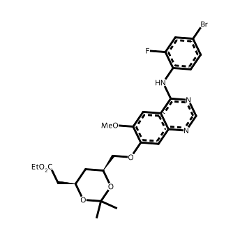 CCOC(=O)C[C@H]1C[C@@H](COc2cc3ncnc(Nc4ccc(Br)cc4F)c3cc2OC)OC(C)(C)O1